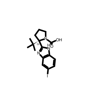 CC(C)(C)[C@]1(c2nc3cc(I)ccc3[nH]2)CCCN1C(=O)O